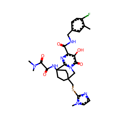 Cc1cc(CNC(=O)c2nc3n(c(=O)c2O)CC2(CSc4nccn4C)CCC3(NC(=O)C(=O)N(C)C)CC2)ccc1F